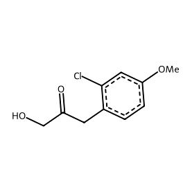 COc1ccc(CC(=O)CO)c(Cl)c1